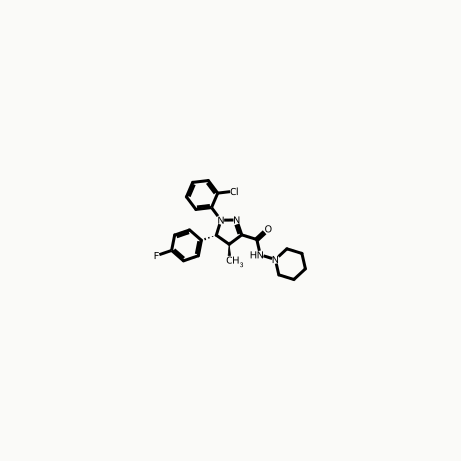 C[C@@H]1C(C(=O)NN2CCCCC2)=NN(c2ccccc2Cl)[C@H]1c1ccc(F)cc1